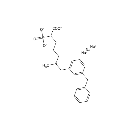 CN(CCCC(C(=O)[O-])P(=O)([O-])[O-])Cc1cccc(Cc2ccccc2)c1.[Na+].[Na+].[Na+]